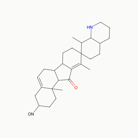 CC1=C2C(=O)C3C(CC=C4CC(N=O)CCC43C)C2CCC12CCC1CCCNC1C2C